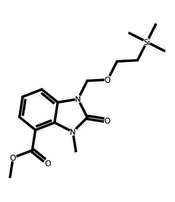 COC(=O)c1cccc2c1n(C)c(=O)n2COCC[Si](C)(C)C